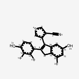 N#Cc1cscc1C1=C(c2ccc(O)c(F)c2F)Cc2c(F)cc(O)cc21